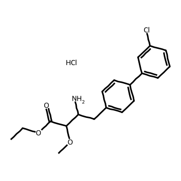 CCOC(=O)C(OC)C(N)Cc1ccc(-c2cccc(Cl)c2)cc1.Cl